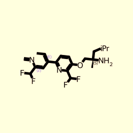 C=N/C(=C\C(=C/C)c1ccc(OC[C@@](C)(N)CC(C)C)c(C(F)F)n1)C(F)F